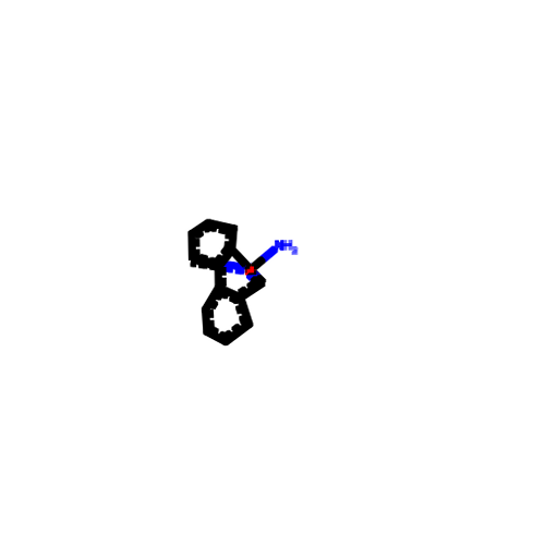 NC1c2nc3cccc1c3c1ccccc21